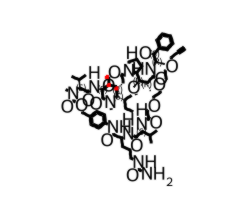 C#CCOCCOCCOCC(=O)N[C@H](C(=O)NC(CCCNC(N)=O)C(=O)Nc1ccc(COC(=O)N(C)[C@H](C(=O)N[C@H](C(=O)N(C)[C@@H](C(C)CC)[C@@H](CC(=O)N2CCCC2[C@H](OC)[C@@H](C)C(=O)N[C@H](C)[C@@H](O)c2ccccc2)OC)C(C)C)C(C)C)cc1)C(C)C